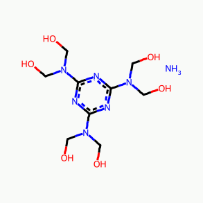 N.OCN(CO)c1nc(N(CO)CO)nc(N(CO)CO)n1